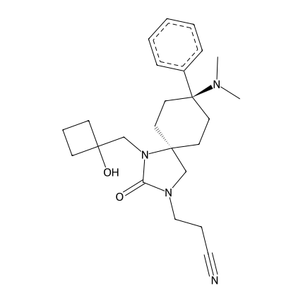 CN(C)[C@]1(c2ccccc2)CC[C@]2(CC1)CN(CCC#N)C(=O)N2CC1(O)CCC1